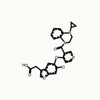 O=C(O)Cc1coc2cc(Cl)c(Oc3ccncc3C(=O)N3CCN(C4CC4)c4ccccc43)cc12